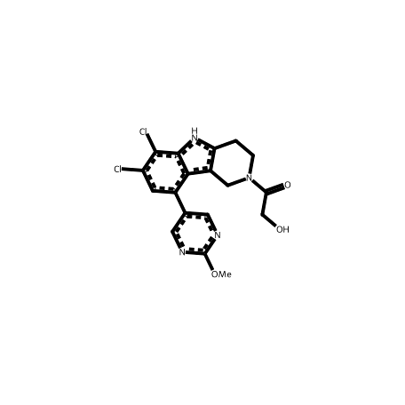 COc1ncc(-c2cc(Cl)c(Cl)c3[nH]c4c(c23)CN(C(=O)CO)CC4)cn1